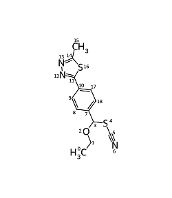 CCOC(SC#N)c1ccc(-c2nnc(C)s2)cc1